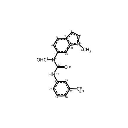 Cn1ccc2ccc(N(C=O)C(=O)Nc3cccc(C(F)(F)F)c3)cc21